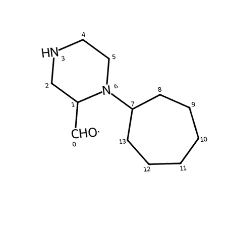 O=[C]C1CNCCN1C1CCCCCC1